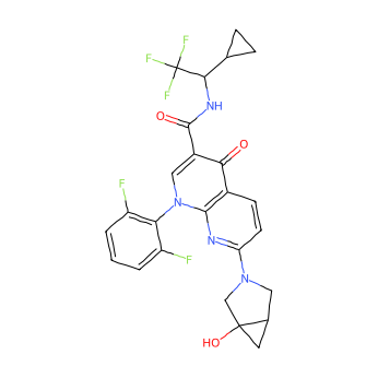 O=C(NC(C1CC1)C(F)(F)F)c1cn(-c2c(F)cccc2F)c2nc(N3CC4CC4(O)C3)ccc2c1=O